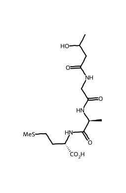 CSCC[C@H](NC(=O)[C@H](C)NC(=O)CNC(=O)CC(C)O)C(=O)O